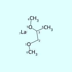 COCC(C)OC.[La]